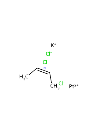 C/C=C\C.[Cl-].[Cl-].[Cl-].[K+].[Pt+2]